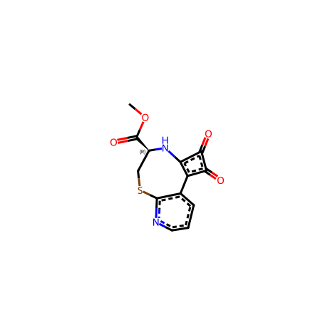 COC(=O)[C@@H]1CSc2ncccc2-c2c(c(=O)c2=O)N1